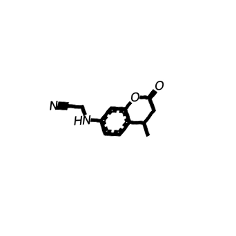 CC1CC(=O)Oc2cc(NCC#N)ccc21